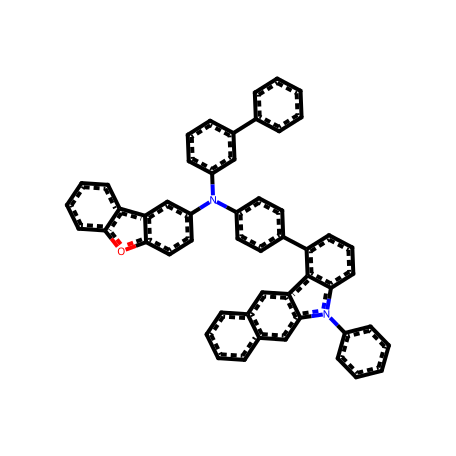 c1ccc(-c2cccc(N(c3ccc(-c4cccc5c4c4cc6ccccc6cc4n5-c4ccccc4)cc3)c3ccc4oc5ccccc5c4c3)c2)cc1